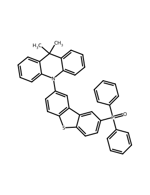 CC1(C)c2ccccc2N(c2ccc3sc4ccc(P(=O)(c5ccccc5)c5ccccc5)cc4c3c2)c2ccccc21